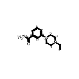 CCN1CCN(c2cccc(C(N)=O)c2)CC1